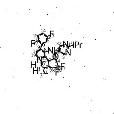 CC(C)c1ncc(C(=O)Nc2c(-c3cc(F)ccc3F)ccnc2C2CCC(F)(F)CC2(C)C)cn1